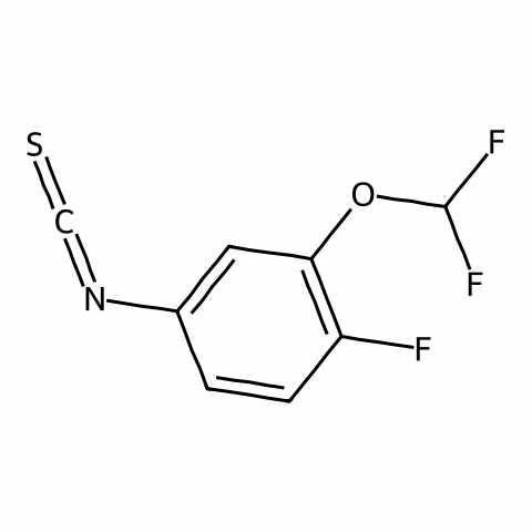 Fc1ccc(N=C=S)cc1OC(F)F